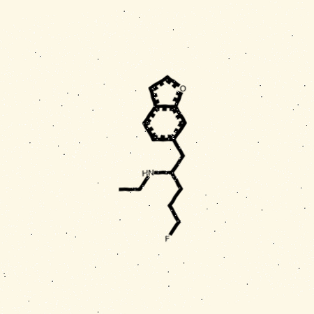 CCNC(CCCF)Cc1ccc2ccoc2c1